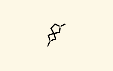 CN1CCC2(C1)CN(I)C2